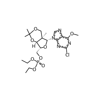 CCOP(=O)(OCC)OC[C@H]1O[C@@H](n2cnc3c(OC)nc(Cl)nc32)[C@]2(C)COC(C)(C)O[C@H]12